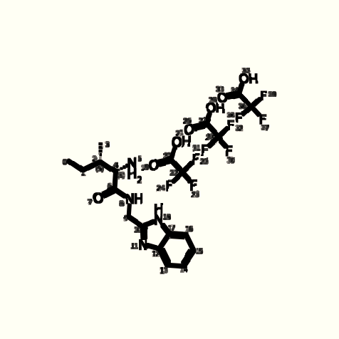 CC[C@H](C)[C@H](N)C(=O)NCc1nc2ccccc2[nH]1.O=C(O)C(F)(F)F.O=C(O)C(F)(F)F.O=C(O)C(F)(F)F